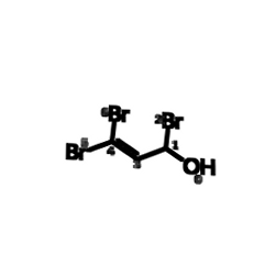 OC(Br)C=C(Br)Br